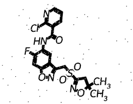 CC1(C)CC(S(=O)(=O)Cc2noc3cc(F)c(NC(=O)c4cccnc4Cl)cc23)=NO1